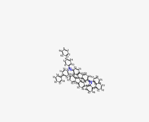 c1ccc(-c2ccc(N(c3ccc(-c4ccccc4)cc3)c3ccc4c(c3)C3(c5ccccc5-c5ccccc53)c3cc(N5c6ccccc6-c6cccc7cccc5c67)ccc3-4)cc2)cc1